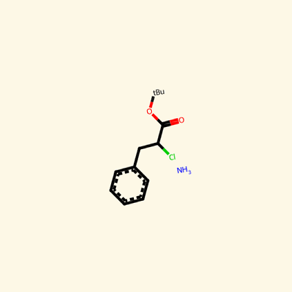 CC(C)(C)OC(=O)C(Cl)Cc1ccccc1.N